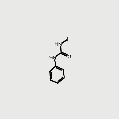 O=C(NI)Nc1ccccc1